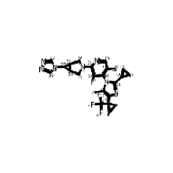 Cc1c(C2(C(F)(F)F)CC2)nc(C2CC2)n1-c1c(F)cnc(N2CC3C(C2)C3n2cnnc2)c1F